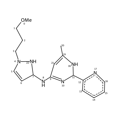 COCCCN1C=CC(NC2=NC(c3ccccn3)NC(C)=C2)N1